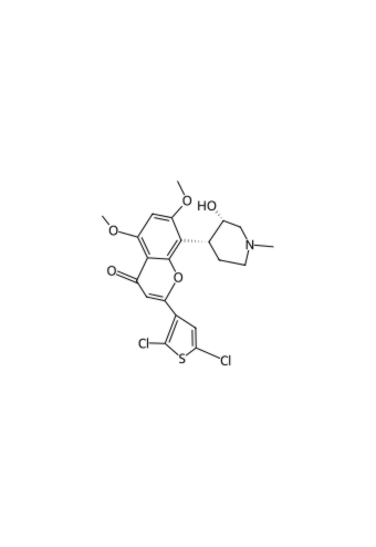 COc1cc(OC)c2c(=O)cc(-c3cc(Cl)sc3Cl)oc2c1[C@H]1CCN(C)C[C@H]1O